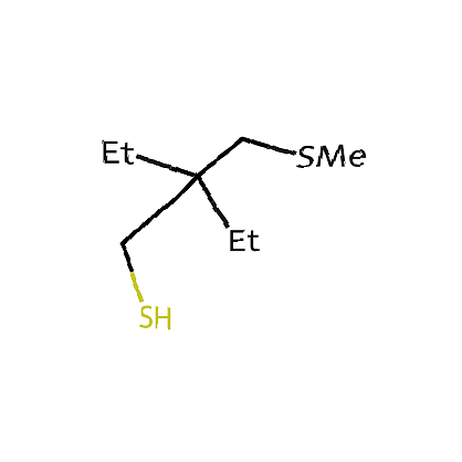 CCC(CC)(CS)CSC